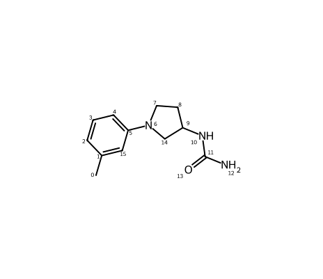 Cc1cccc(N2CCC(NC(N)=O)C2)c1